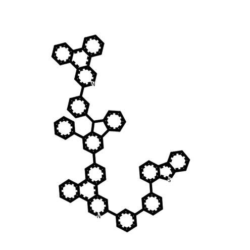 c1ccc(-c2cc(-c3ccc4c(c3)c3ccccc3c3cnc(-c5cccc(-c6cccc(-c7cccc8c7sc7ccccc78)c6)c5)cc43)cc3c2C(c2cccc(-c4cc5c6ccccc6c6ccccc6c5cn4)c2)c2ccccc2-3)cc1